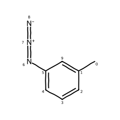 Cc1cccc(N=[N+]=[N-])c1